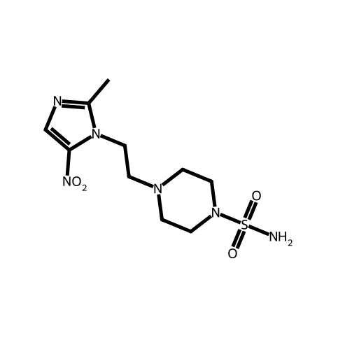 Cc1ncc([N+](=O)[O-])n1CCN1CCN(S(N)(=O)=O)CC1